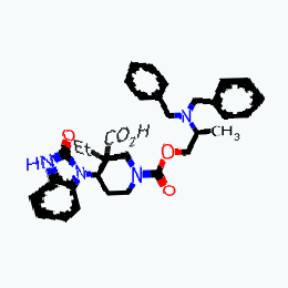 CCC1(C(=O)O)CN(C(=O)OCC(C)N(Cc2ccccc2)Cc2ccccc2)CCC1n1c(=O)[nH]c2ccccc21